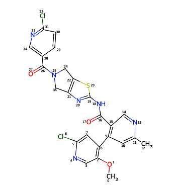 COc1cnc(Cl)cc1-c1cc(C)ncc1C(=O)Nc1nc2c(s1)CN(C(=O)c1ccc(Cl)nc1)C2